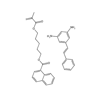 C=C(C)C(=O)OCCCCCOC(=O)c1cccc2ccccc12.Nc1cc(N)cc(C=Cc2ccccc2)c1